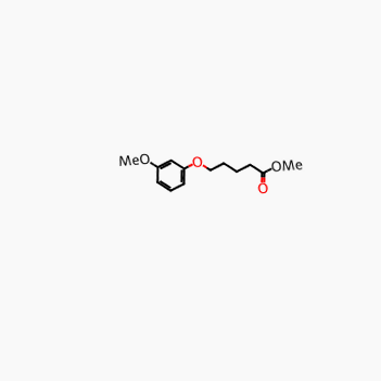 COC(=O)CCCCOc1cccc(OC)c1